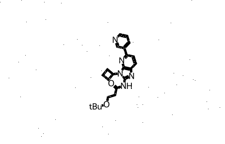 CC(C)(C)OCCC(=O)Nc1nc2ccc(-c3cccnc3)nc2n1C1CCC1